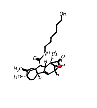 C=C1C[C@]23C[C@@]1(O)CC[C@H]2C1=C[C@H]2OC(=O)[C@@](C)([C@H]1[C@@H]3C(=O)NCCCCCCO)[C@H]2O